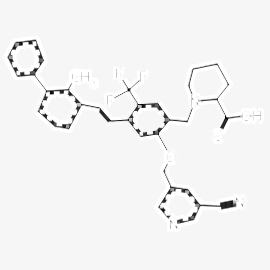 Cc1c(C=Cc2cc(OCc3cncc(C#N)c3)c(CN3CCCCC3C(=O)O)cc2C(F)(F)F)cccc1-c1ccccc1